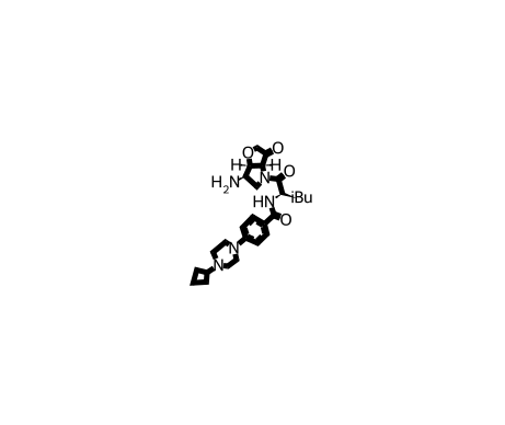 CC[C@H](C)[C@H](NC(=O)c1ccc(N2CCN(C3CCC3)CC2)cc1)C(=O)N1C[C@H](N)[C@H]2OCC(=O)[C@H]21